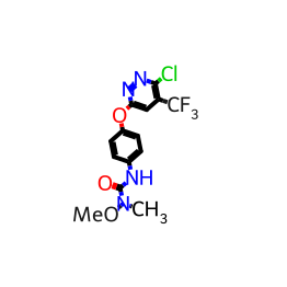 CON(C)C(=O)Nc1ccc(Oc2cc(C(F)(F)F)c(Cl)nn2)cc1